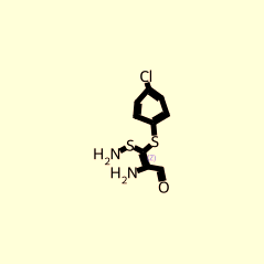 NS/C(Sc1ccc(Cl)cc1)=C(\N)C=O